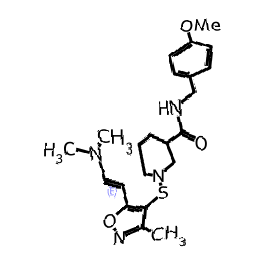 COc1ccc(CNC(=O)C2CCCN(Sc3c(C)noc3/C=C/N(C)C)C2)cc1